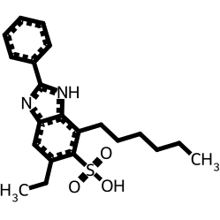 CCCCCCc1c(S(=O)(=O)O)c(CC)cc2nc(-c3ccccc3)[nH]c12